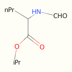 CCCC(NC=O)C(=O)OC(C)C